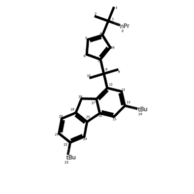 CCCC(C)(C)C1=CCC(C(C)(C)c2cc(C(C)(C)C)cc3c2Cc2ccc(C(C)(C)C)cc2-3)=C1